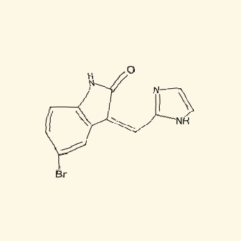 O=C1Nc2ccc(Br)cc2/C1=C/c1ncc[nH]1